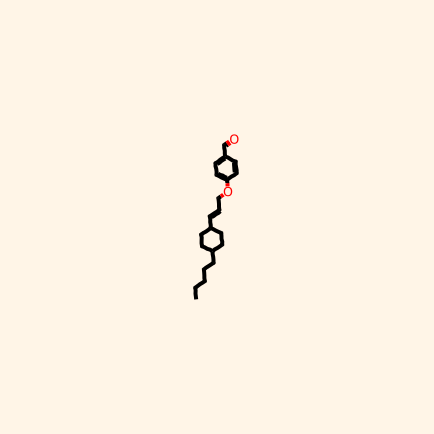 CCCCCC1CCC(/C=C/COc2ccc(C=O)cc2)CC1